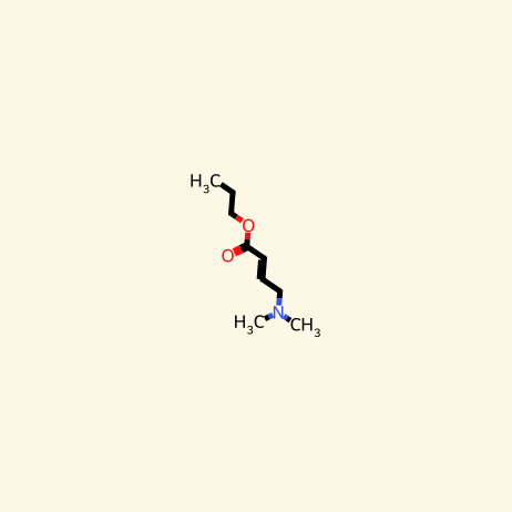 CCCOC(=O)C=CCN(C)C